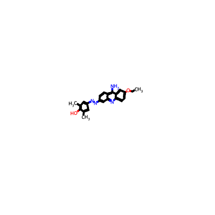 CCOc1ccc2nc3cc(N=Nc4cc(C)c(O)c(C)c4)ccc3c(N)c2c1